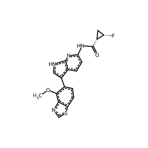 COc1c(-c2c[nH]c3nc(NC(=O)[C@@H]4C[C@@H]4F)ccc23)ccc2scnc12